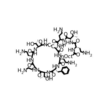 CCCCCCCCC(=O)N[C@@H](CCN)C(=O)N[C@H](C(=O)NC(CCN)C(=O)N[C@H]1CCNC(=O)[C@H]([C@@H](C)O)NC(=O)[C@H](CCN)NC(=O)[C@H](CCN)NC(=O)[C@H]([C@@H](C)O)NC(=O)[C@@H](Cc2ccccc2)NC(=O)[C@H](CCN)NC1=O)[C@@H](C)O